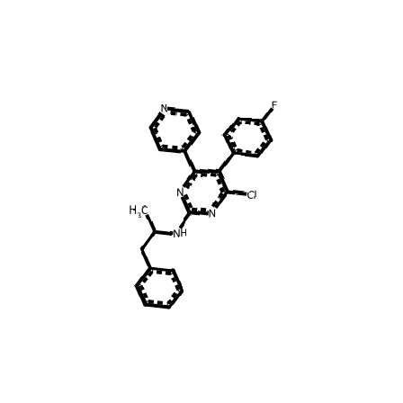 CC(Cc1ccccc1)Nc1nc(Cl)c(-c2ccc(F)cc2)c(-c2ccncc2)n1